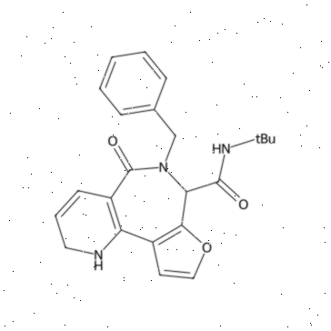 CC(C)(C)NC(=O)C1c2occc2C2=C(C=CCN2)C(=O)N1Cc1ccccc1